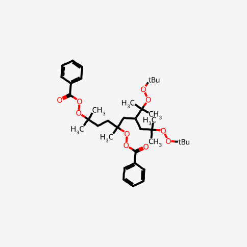 CC(C)(C)OOC(C)(C)CC(CC(C)(CCC(C)(C)OOC(=O)c1ccccc1)OOC(=O)c1ccccc1)C(C)(C)OOC(C)(C)C